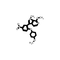 COc1nccc2c(-c3cc([N+](=O)[O-])ccc3OC3CCC(OC)CC3)cn(C)c12